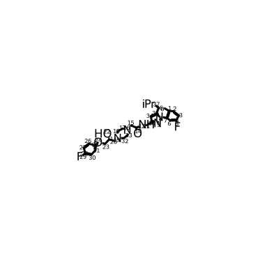 Cc1ccc(F)cc1-n1nc(CNC(=O)CN2CCN(C[C@@H](O)COc3ccc(F)cc3)CC2)cc1CC(C)C